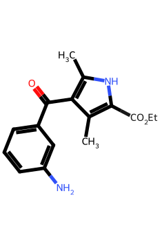 CCOC(=O)c1[nH]c(C)c(C(=O)c2cccc(N)c2)c1C